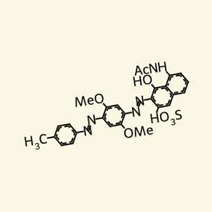 COc1cc(/N=N/c2c(S(=O)(=O)O)cc3cccc(NC(C)=O)c3c2O)c(OC)cc1/N=N/c1ccc(C)cc1